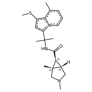 CSc1cc(C(C)(C)NC(=O)[C@H]2[C@@H]3CN(C)C[C@@]32C)n2cccc(C)c12